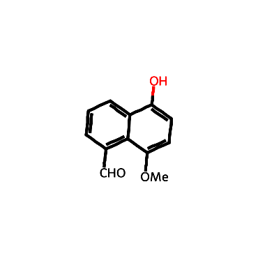 COc1ccc(O)c2cccc(C=O)c12